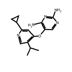 CC(C)c1cnc(C2CC2)cc1Oc1cnc(N)nc1N